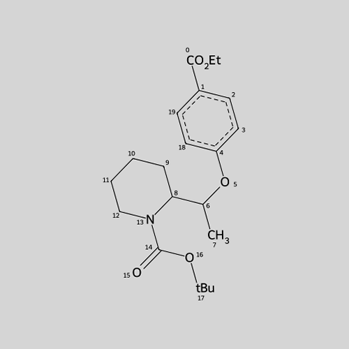 CCOC(=O)c1ccc(OC(C)C2CCCCN2C(=O)OC(C)(C)C)cc1